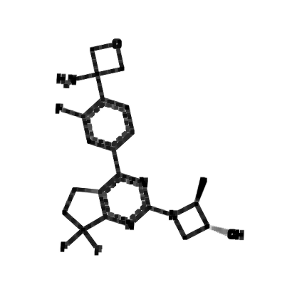 C[C@H]1[C@H](O)CN1c1nc(-c2ccc(C3(N)COC3)c(F)c2)c2c(n1)C(F)(F)CC2